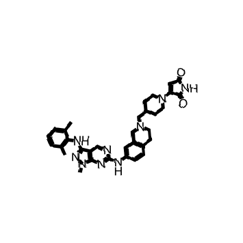 Cc1cccc(C)c1Nc1nn(C)c2nc(Nc3ccc4c(c3)CN(CC3CCN(C5=CC(=O)NC5=O)CC3)CC4)ncc12